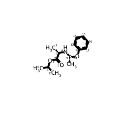 CC(C)OC(=O)[C@@H](C)N[P@](C)Oc1ccccc1